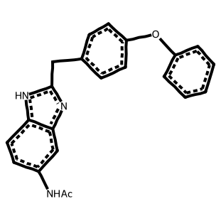 CC(=O)Nc1ccc2[nH]c(Cc3ccc(Oc4ccccc4)cc3)nc2c1